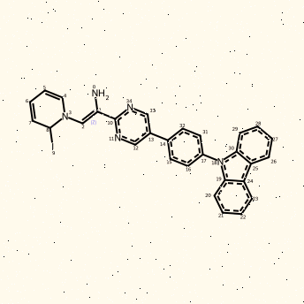 N/C(=C\N1C=CC=CC1I)c1ncc(-c2ccc(-n3c4ccccc4c4ccccc43)cc2)cn1